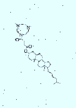 CC(C)CCCCC1CCC2C3CC=C4CC(OC(=O)CCC(=O)N5CCN(C)CCN(C)CC5)CCC4(C)C3CCC12C